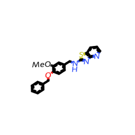 COc1cc(CNc2nc3ncccc3s2)ccc1OCc1ccccc1